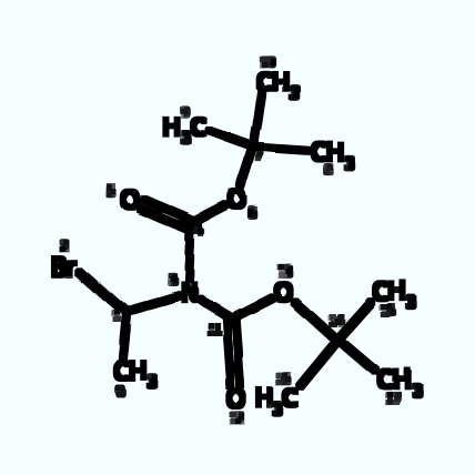 CC(Br)N(C(=O)OC(C)(C)C)C(=O)OC(C)(C)C